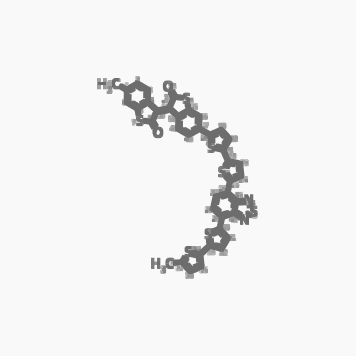 Cc1ccc2c(c1)SC(=O)/C2=C1/C(=O)Sc2cc(-c3ccc(-c4ccc(-c5ccc(-c6ccc(-c7ccc(C)s7)s6)c6nsnc56)s4)s3)ccc21